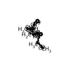 C=C[C@@H]1C[C@]1(NC(=O)[C@@H]1C[C@@H](OC(=O)N2Cc3cccc(F)c3C2)CN1C(=O)OC(C)(C)C)C(=O)NS(=O)(=O)c1ccccc1NCCCCN(C)CCCC(=O)OC